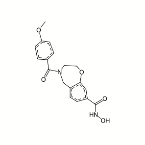 COc1ccc(C(=O)N2CCOc3cc(C(=O)NO)ccc3C2)cc1